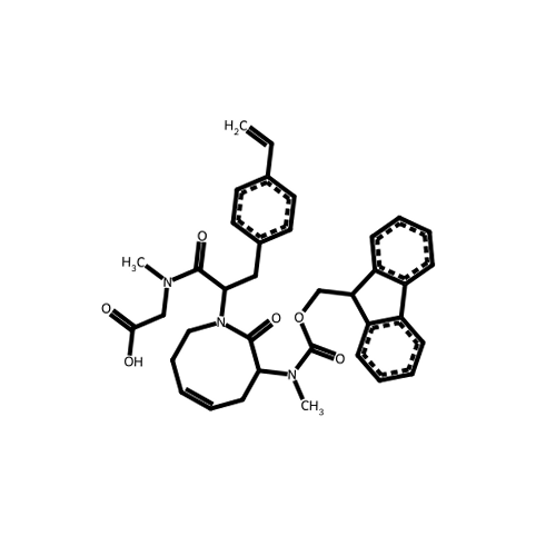 C=Cc1ccc(CC(C(=O)N(C)CC(=O)O)N2CCC=CCC(N(C)C(=O)OCC3c4ccccc4-c4ccccc43)C2=O)cc1